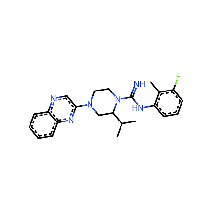 Cc1c(F)cccc1NC(=N)N1CCN(c2cnc3ccccc3n2)CC1C(C)C